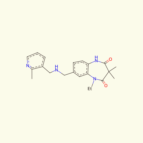 CCN1C(=O)C(C)(C)C(=O)Nc2ccc(CNCc3cccnc3C)cc21